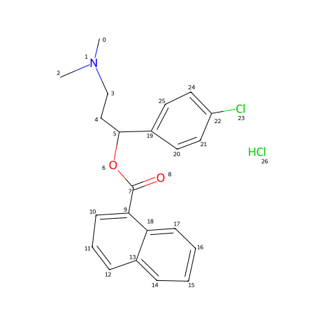 CN(C)CCC(OC(=O)c1cccc2ccccc12)c1ccc(Cl)cc1.Cl